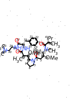 CC[C@H](C)[C@@H]([C@@H](CC(=O)N1CCC[C@H]1[C@H](OC)[C@@H](C)C(=O)N[C@@H](Cc1ccccc1)C(=O)NCCN(C)C)OC)N(C)C(=O)[C@@H](C)C(C)C